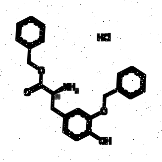 Cl.N[C@@H](Cc1ccc(O)c(OCc2ccccc2)c1)C(=O)OCc1ccccc1